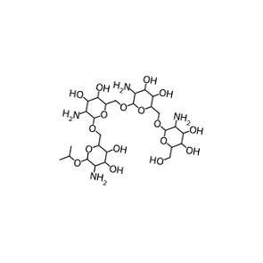 CC(C)OC1OC(COC2OC(COC3OC(COC4OC(CO)C(O)C(O)C4N)C(O)C(O)C3N)C(O)C(O)C2N)C(O)C(O)C1N